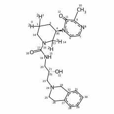 [2H]C1([2H])C[C@@H](n2ccnc(C)c2=O)C([2H])([2H])N(C(=O)NC[C@H](O)CN2CCc3ccccc3C2)C1